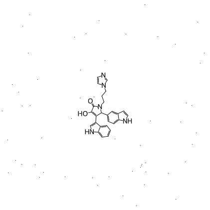 O=C1C(O)=C(c2c[nH]c3ccccc23)C(c2ccc3[nH]ccc3c2)N1CCCn1ccnc1